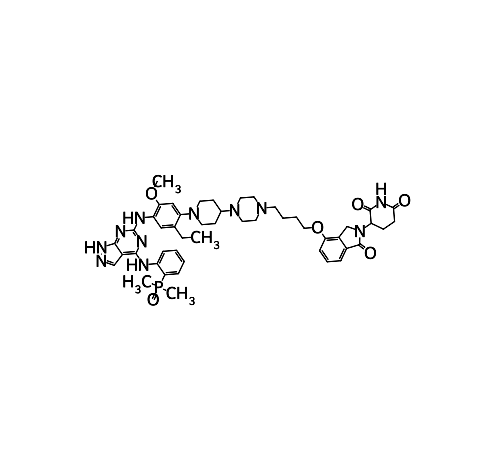 CCc1cc(Nc2nc(Nc3ccccc3P(C)(C)=O)c3cn[nH]c3n2)c(OC)cc1N1CCC(N2CCN(CCCCOc3cccc4c3CN(C3CCC(=O)NC3=O)C4=O)CC2)CC1